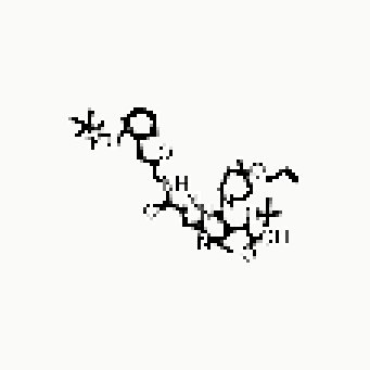 C=CCOC1(C)CCN(c2c(C(OC(C)(C)C)C(=O)O)c(C)nc3cc(C(=O)NCC(=O)Cc4ccccc4O[Si](C)(C)C(C)(C)C)nn23)CC1